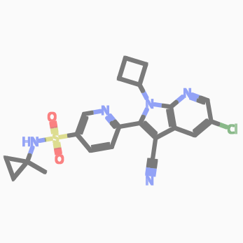 CC1(NS(=O)(=O)c2ccc(-c3c(C#N)c4cc(Cl)cnc4n3C3CCC3)nc2)CC1